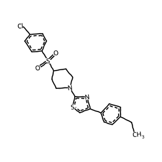 CCc1ccc(-c2csc(N3CCC(S(=O)(=O)c4ccc(Cl)cc4)CC3)n2)cc1